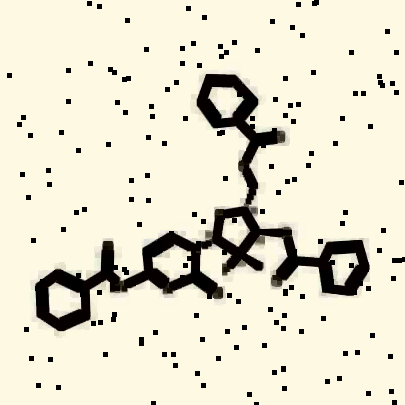 C[C@]1(F)[C@H](OC(=O)c2ccccc2)[C@@H](COC(=O)c2ccccc2)O[C@H]1n1ccc(NC(=O)c2ccccc2)nc1=O